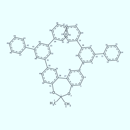 CC1(C)Oc2ccc(-c3cc(-c4ccccc4)cc(-c4ccccc4)c3)cc2-c2cc(-c3cc(-c4ccccc4)cc(-c4ccccc4)c3)ccc2O1